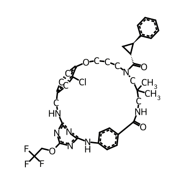 CC1(C)CNC(=O)c2ccc(cc2)Nc2nc(nc(OCC(F)(F)F)n2)NCc2ccc(c(Cl)c2)OCCCN(C(=O)[C@@H]2C[C@H]2c2ccccc2)C1